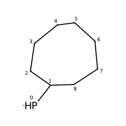 [PH]C1CCCCCCC1